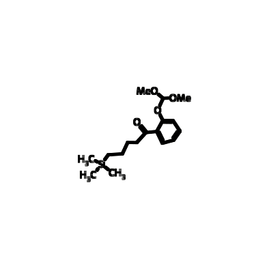 COC(OC)Oc1ccccc1C(=O)CCCC[Si](C)(C)C